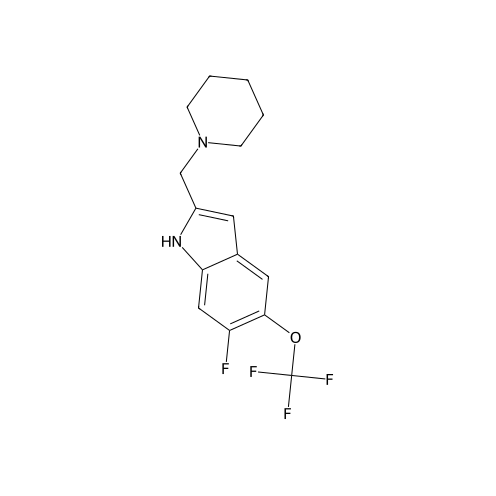 Fc1cc2[nH]c(CN3CCCCC3)cc2cc1OC(F)(F)F